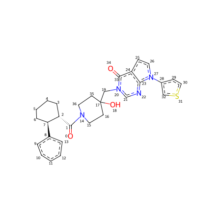 O=C([C@H]1CCCC[C@@H]1c1ccccc1)N1CCC(O)(Cn2cnc3c(ccn3-c3ccsc3)c2=O)CC1